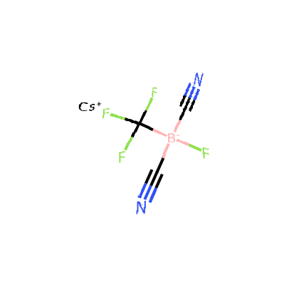 N#C[B-](F)(C#N)C(F)(F)F.[Cs+]